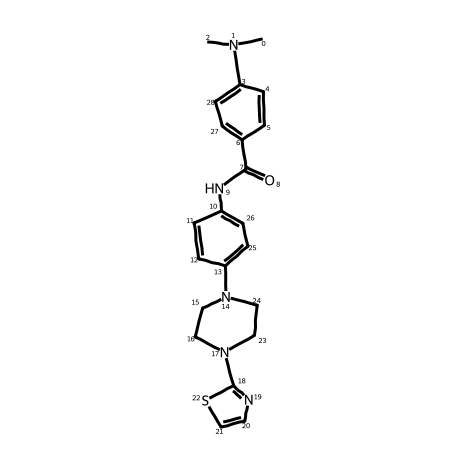 CN(C)c1ccc(C(=O)Nc2ccc(N3CCN(c4nccs4)CC3)cc2)cc1